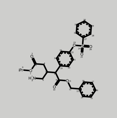 CC(C)OC(=O)CC(CN)C(C(=O)OCc1ccccc1)c1ccc(OS(=O)(=O)c2ccccc2)cc1